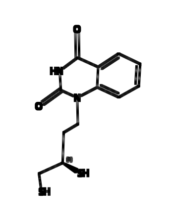 O=c1[nH]c(=O)n(CC[C@@H](S)CS)c2ccccc12